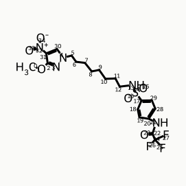 COc1nn(CCCCCCCCNS(=O)(=O)c2ccc(NC(=O)C(F)(F)F)cc2)cc1[N+](=O)[O-]